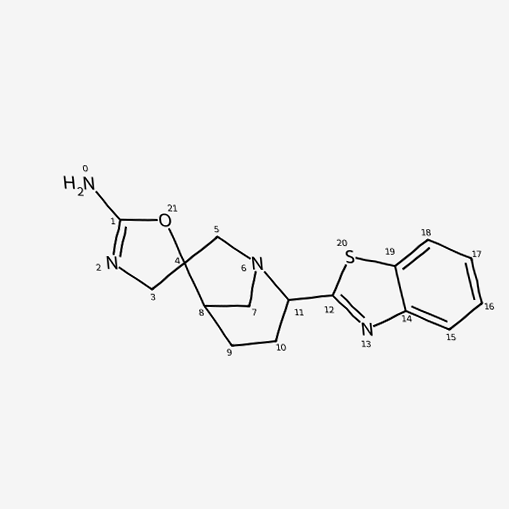 NC1=NCC2(CN3CC2CCC3c2nc3ccccc3s2)O1